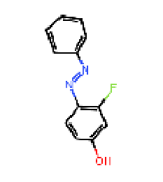 Oc1ccc(/N=N/c2ccccc2)c(F)c1